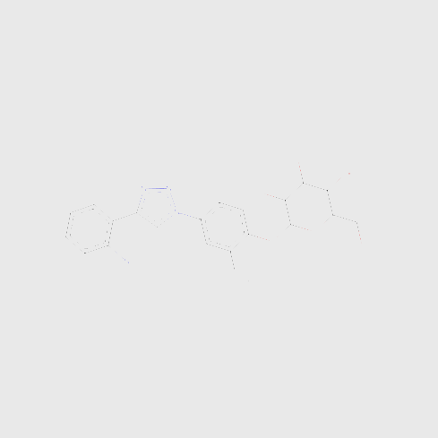 Cc1cc(-n2cc(-c3ccccc3N)nn2)ccc1OC1OC(CO)C(O)C(O)C1O